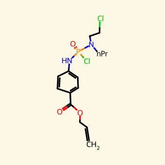 C=CCOC(=O)c1ccc(NP(=O)(Cl)N(CCC)CCCl)cc1